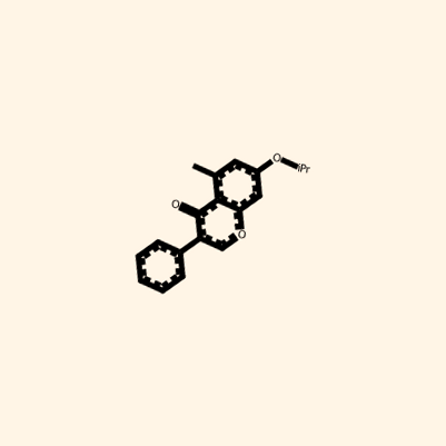 Cc1cc(OC(C)C)cc2occ(-c3ccccc3)c(=O)c12